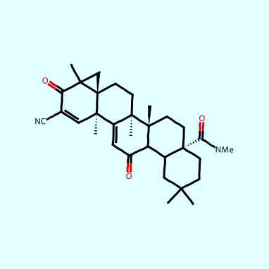 CNC(=O)[C@]12CCC(C)(C)CC1C1C(=O)C=C3[C@@]4(C)C=C(C#N)C(=O)C5(C)C[C@]54CC[C@@]3(C)[C@]1(C)CC2